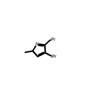 CC1C=C(C(C)C)C(C(C)C)=N1